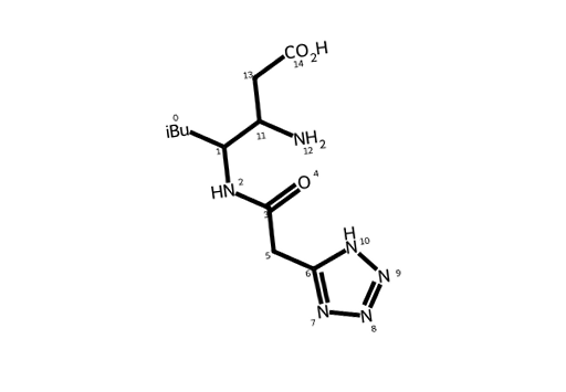 CCC(C)C(NC(=O)Cc1nnn[nH]1)C(N)CC(=O)O